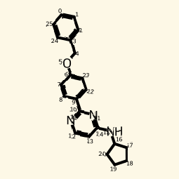 c1ccc(COc2ccc(-c3nccc(NC4CCCC4)n3)cc2)cc1